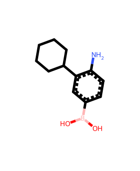 Nc1ccc(B(O)O)cc1C1CCCCC1